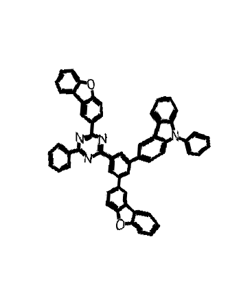 c1ccc(-c2nc(-c3cc(-c4ccc5oc6ccccc6c5c4)cc(-c4ccc5c(c4)c4ccccc4n5-c4ccccc4)c3)nc(-c3ccc4oc5ccccc5c4c3)n2)cc1